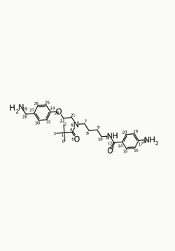 CC(C)(C)C(=O)N(CCCCNC(=O)c1ccc(N)cc1)CCOc1ccc(CN)cc1